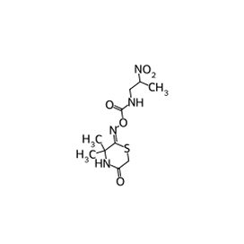 CC(CNC(=O)ON=C1SCC(=O)NC1(C)C)[N+](=O)[O-]